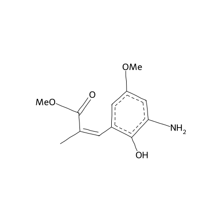 COC(=O)C(C)=Cc1cc(OC)cc(N)c1O